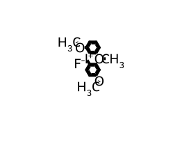 COc1ccc([I+]c2c(OC)cccc2OC)cc1.[F-]